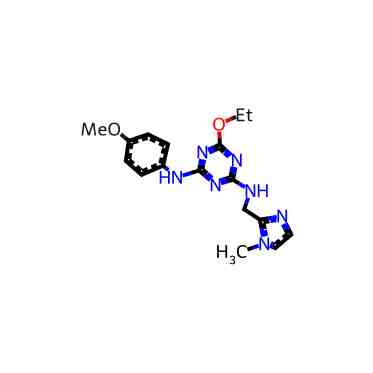 CCOc1nc(NCc2nccn2C)nc(Nc2ccc(OC)cc2)n1